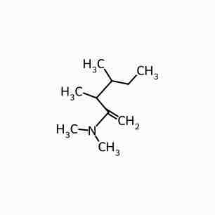 C=C(C(C)C(C)CC)N(C)C